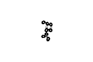 c1ccc(-c2ccc3c(c2)Oc2ccc(-c4ccc5c(c4)c4ccccc4n5-c4ccccc4)cc2-c2ccccc2Oc2ccccc2-3)cc1